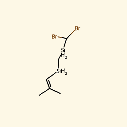 CC(C)=C[SiH2]C[SiH2]C(Br)Br